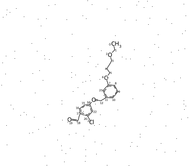 CCOCCCOc1cccc(COc2ccc(C=O)c(Cl)c2)c1